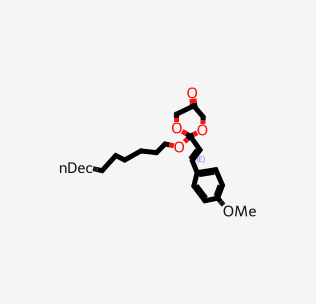 CCCCCCCCCCCCCCCCOC1(/C=C/c2ccc(OC)cc2)OCC(=O)CO1